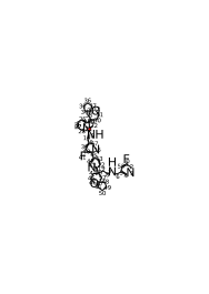 Fc1cncc(CNCCC2(c3ccc(-c4ncc(CNCC[C@@]5(c6ccccn6)CCOC6(CCCC6)C5)cc4F)cn3)CCOC3(CCCC3)C2)c1